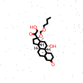 CCCCOCO[C@]1(C(=O)CO)CC[C@H]2[C@@H]3CCC4=CC(=O)CC[C@]4(C)[C@H]3[C@@H](O)C[C@@]21C